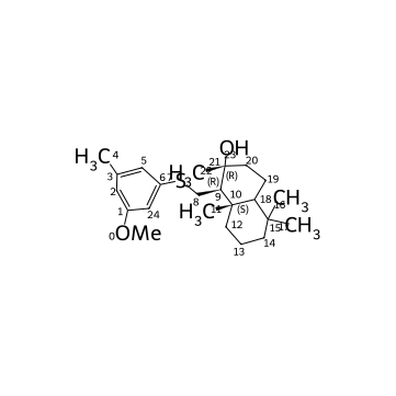 COc1cc(C)cc(SC[C@@H]2[C@@]3(C)CCCC(C)(C)C3CC[C@@]2(C)O)c1